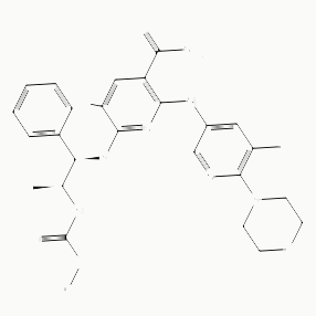 C[C@H](NC(=O)OC(C)(C)C)[C@H](Nc1nc(Nc2cnc(N3CCOCC3)c(F)c2)c(C(N)=O)cc1F)c1ccccc1